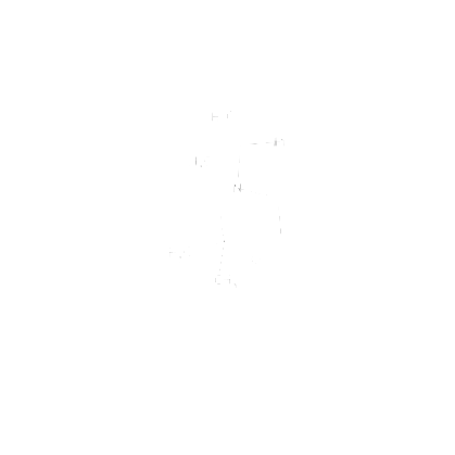 CC(C)C(C)(C)N1CCOC(C)(C)C1